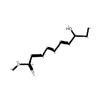 CCC(O)C=CC=CC=CC(=O)OC